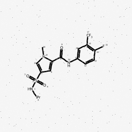 CC(C)NS(=O)(=O)c1cc(C(=O)Nc2ccc(F)c(C(F)(F)F)c2)n(C)c1